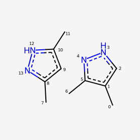 Cc1c[nH]nc1C.Cc1cc(C)[nH]n1